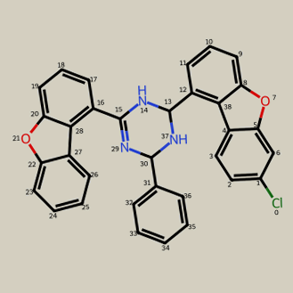 Clc1ccc2c(c1)oc1cccc(C3NC(c4cccc5oc6ccccc6c45)=NC(c4ccccc4)N3)c12